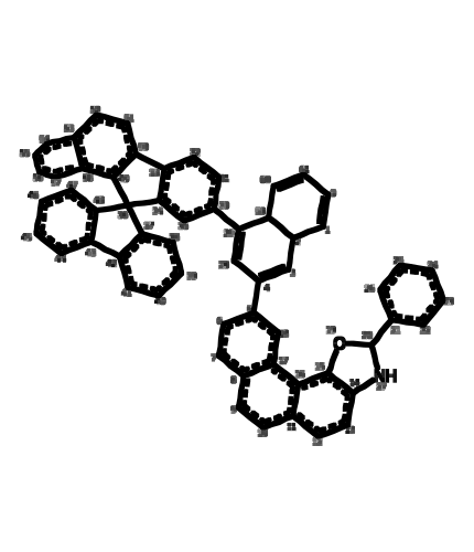 C1=CC2C=C(c3ccc4ccc5ccc6c(c5c4c3)OC(c3ccccc3)N6)C=C(c3ccc4c(c3)C3(c5ccccc5-c5ccccc53)c3c-4ccc4ccccc34)C2C=C1